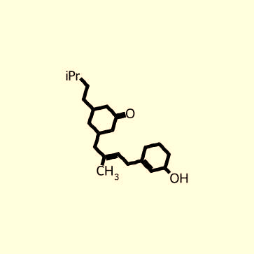 C/C(=C\CC1=CC(O)CCC1)CC1CC(=O)CC(CCC(C)C)C1